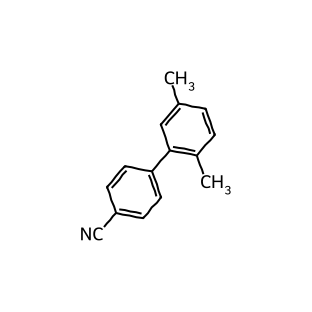 Cc1ccc(C)c(-c2ccc(C#N)cc2)c1